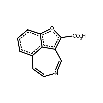 O=C(O)c1oc2cccc3c2c1C=NC=C3